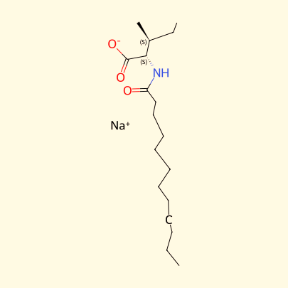 CCCCCCCCCCCC(=O)N[C@H](C(=O)[O-])[C@@H](C)CC.[Na+]